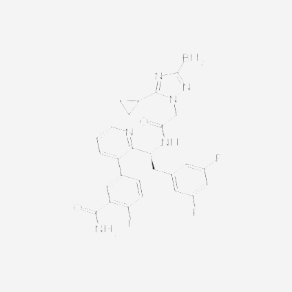 Bc1nc(C2CC2)n(CC(=O)N[C@@H](Cc2cc(F)cc(F)c2)c2ncccc2-c2ccc(F)c(C(N)=O)c2)n1